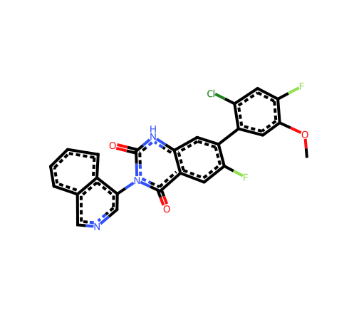 COc1cc(-c2cc3[nH]c(=O)n(-c4cncc5ccccc45)c(=O)c3cc2F)c(Cl)cc1F